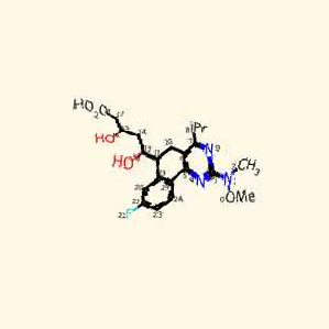 CON(C)c1nc2c(c(C(C)C)n1)CC([C@@H](O)C[C@@H](O)CC(=O)O)c1cc(F)ccc1-2